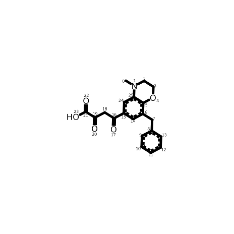 CN1CCOc2c(Cc3ccccc3)cc(C(=O)CC(=O)C(=O)O)cc21